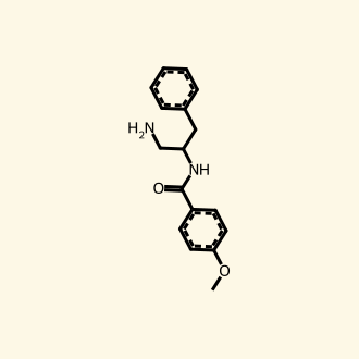 COc1ccc(C(=O)NC(CN)Cc2ccccc2)cc1